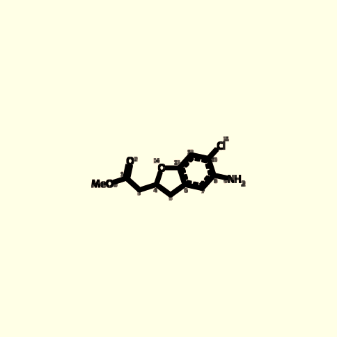 COC(=O)CC1Cc2cc(N)c(Cl)cc2O1